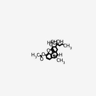 CCCC(C)(O)C1CC23C=CC1(OC)C1Oc4c(OC(C)=O)ccc5c4[C@@]12CCN(C)[C@@H]3C5